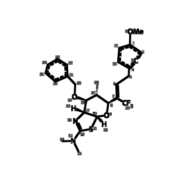 COc1ccc(CC=C([C@H]2O[C@@H]3SC(N(C)C)=N[C@@H]3[C@@H](OCc3ccccc3)[C@@H]2C)C(F)(F)F)cc1